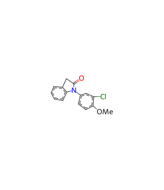 COc1ccc(N2C(=O)Cc3ccccc32)cc1Cl